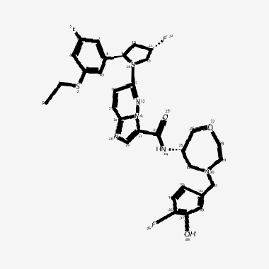 CCSc1cc(F)cc([C@H]2C[C@H](F)CN2c2ccc3ncc(C(=O)N[C@@H]4COCCN(Cc5ccc(F)c(O)c5)C4)n3n2)c1